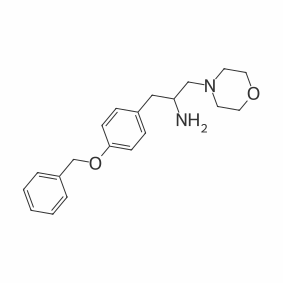 NC(Cc1ccc(OCc2ccccc2)cc1)CN1CCOCC1